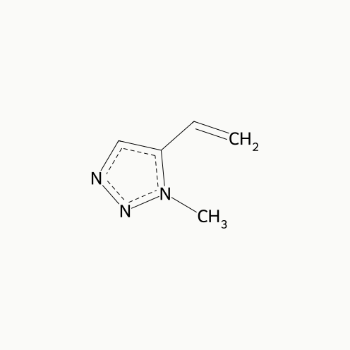 C=Cc1cnnn1C